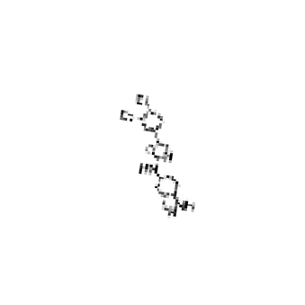 CCc1ccc(-c2cnc(Nc3ccc4[nH]ncc4c3)o2)cc1CC